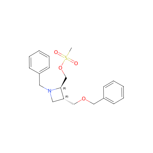 CS(=O)(=O)OC[C@H]1[C@H](COCc2ccccc2)CN1Cc1ccccc1